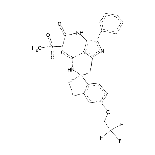 CS(=O)(=O)CC(=O)Nc1c(-c2ccccc2)nc2n1C(=O)N[C@@]1(CCc3cc(OCC(F)(F)F)ccc31)C2